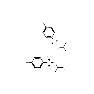 Cc1ccc(S(=O)(=O)N(SSN(C(C)C)S(=O)(=O)c2ccc(C)cc2)C(C)C)cc1